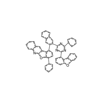 c1ccc(-c2nc(-c3cc4ccccc4cc3-c3ccc(-c4ccccc4)c4oc5nc6ccccc6cc5c34)nc(-c3cccc4oc5ccccc5c34)n2)cc1